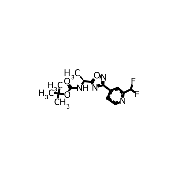 C[C@H](NC(=O)OC(C)(C)C)c1nc(-c2ccnc(C(F)F)c2)no1